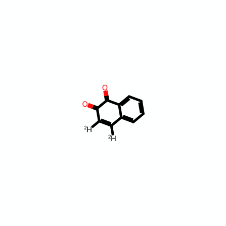 [2H]C1=C([2H])c2ccccc2C(=O)C1=O